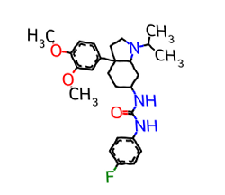 COc1ccc(C23CCC(NC(=O)Nc4ccc(F)cc4)CC2N(C(C)C)CC3)cc1OC